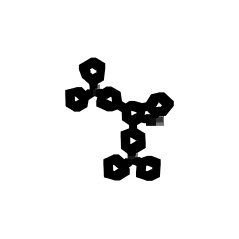 c1ccc(N(c2ccccc2)c2ccc(-c3cc(-c4ccc(N(c5ccccc5)c5ccccc5)cc4)c4[nH]c5ccccc5c4c3)cc2)cc1